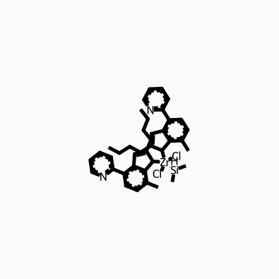 CCCCC1=Cc2c(-c3ccccn3)ccc(C)c2[CH]1[Zr]([Cl])([Cl])([CH]1C(CCCC)=Cc2c(-c3ccccn3)ccc(C)c21)[SiH](C)C